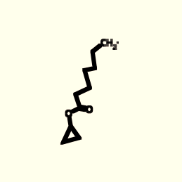 [CH2]CCCCCC(=O)OC1CC1